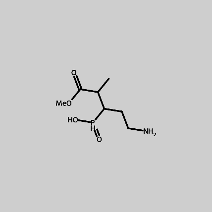 COC(=O)C(C)C(CCN)[PH](=O)O